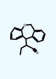 CCC(C#N)C1c2ccccc2COc2ccccc21